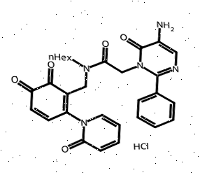 CCCCCCN(CC1=C(n2ccccc2=O)C=CC(=O)C1=O)C(=O)Cn1c(-c2ccccc2)ncc(N)c1=O.Cl